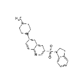 CN1CCN(c2ccc3ncc(S(=O)(=O)N4CCc5ccccc54)cc3c2)CC1